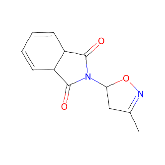 CC1=NOC(N2C(=O)C3C=CC=CC3C2=O)C1